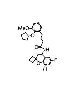 COc1cccc(CCCC(=O)NC2CC3(CCC3)Oc3c(Cl)cc(F)cc32)c1OC1CCCC1